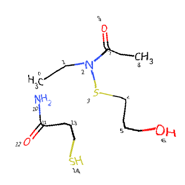 CCN(SCCO)C(C)=O.NC(=O)CS